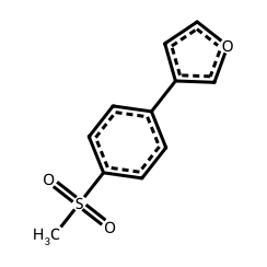 CS(=O)(=O)c1ccc(-c2ccoc2)cc1